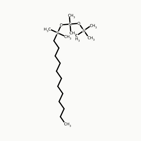 CCCCCCCCCCCC[Si](C)(C)O[Si](C)(C)O[Si](C)(C)C